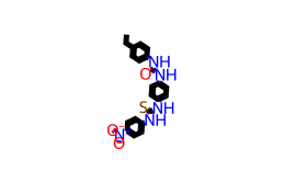 CCc1ccc(NC(=O)Nc2ccc(NC(=S)Nc3ccc([N+](=O)[O-])cc3)cc2)cc1